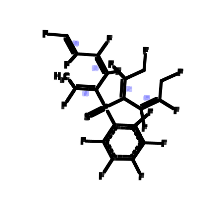 C\C(F)=C(/C(F)=C(F)\C(F)=C\F)P(=S)(C(=C(\F)CF)/C(F)=C(/F)CF)c1c(F)c(F)c(F)c(F)c1F